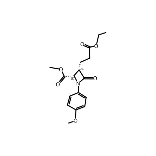 CCOC(=O)CC[C@@H]1C(=O)N(c2ccc(OC)cc2)[C@@H]1C(=O)OC